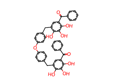 O=C(c1ccccc1)c1cc(Cc2ccc(Oc3ccc(Cc4cc(C(=O)c5ccccc5)c(O)c(O)c4O)cc3)cc2)c(O)c(O)c1O